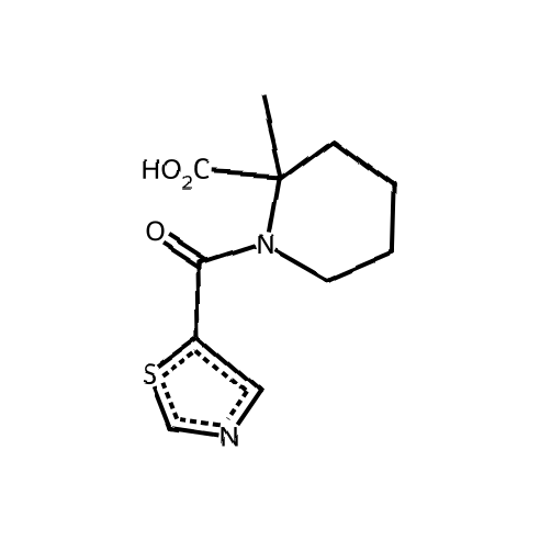 CC1(C(=O)O)CCCCN1C(=O)c1cncs1